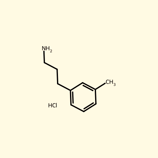 Cc1cccc(CCCN)c1.Cl